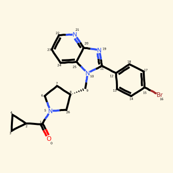 O=C(C1CC1)N1CC[C@H](Cn2c(-c3ccc(Br)cc3)nc3ncccc32)C1